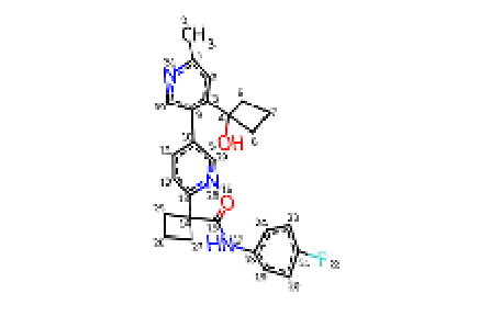 Cc1cc(C2(O)CCC2)c(-c2ccc(C3(C(=O)Nc4ccc(F)cc4)CCC3)nc2)cn1